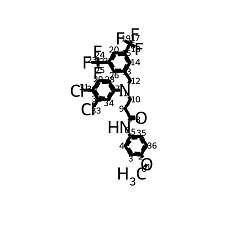 COc1ccc(NC(=O)CCN(Cc2cc(C(F)(F)F)cc(C(F)(F)F)c2)c2ccc(Cl)c(Cl)c2)cc1